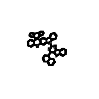 c1ccc2c(c1)Oc1cc3c(cc1C21c2ccccc2-c2ccccc21)c1ccccc1n3-c1nc(-c2cccc3ccccc23)c2sc3ccccc3c2n1